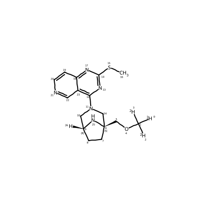 [2H]C([2H])([2H])OC[C@]12CC[C@H](CN(c3nc(SC)nc4ccncc34)C1)N2